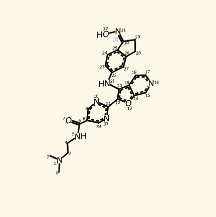 CN(C)CCNC(=O)c1cnc(-c2oc3cnccc3c2Nc2ccc3c(c2)CC/C3=N/O)nc1